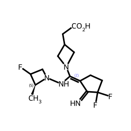 C[C@H]1C(F)CN1N/C(=C1/CCC(F)(F)C1=N)N1CC(CC(=O)O)C1